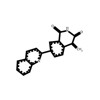 C=C1C(=O)NC(=O)c2cc(-c3ccc4ccccc4n3)ccc21